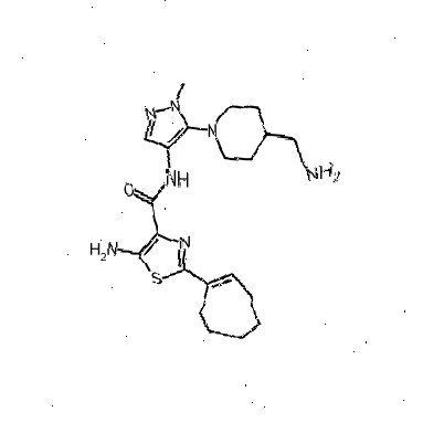 Cn1ncc(NC(=O)c2nc(C3=CCCCCC3)sc2N)c1N1CCC(CN)CC1